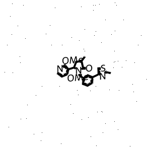 COc1ccnc(OC)c1C1CC(C)C(=O)N1Cc1cccc(-c2csc(C)n2)c1